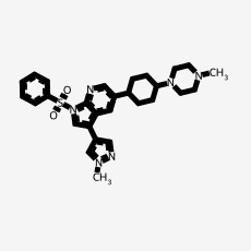 CN1CCN(C2CCC(c3cnc4c(c3)c(-c3cnn(C)c3)cn4S(=O)(=O)c3ccccc3)CC2)CC1